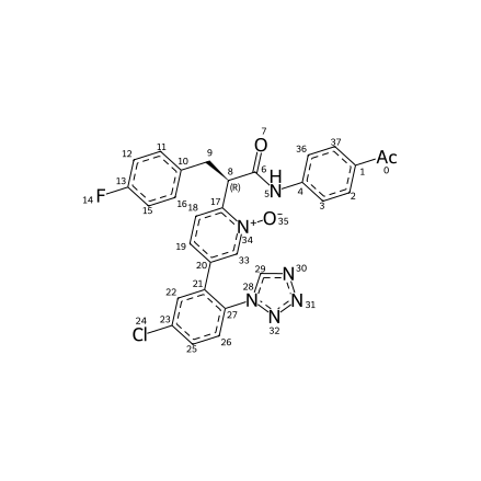 CC(=O)c1ccc(NC(=O)[C@H](Cc2ccc(F)cc2)c2ccc(-c3cc(Cl)ccc3-n3cnnn3)c[n+]2[O-])cc1